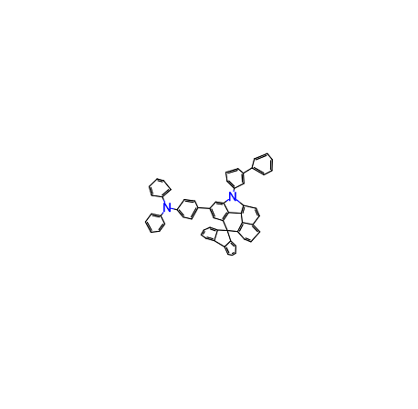 c1ccc(-c2cccc(-n3c4cc(-c5ccc(N(c6ccccc6)c6ccccc6)cc5)cc5c4c4c6c(cccc6ccc43)C53c4ccccc4-c4ccccc43)c2)cc1